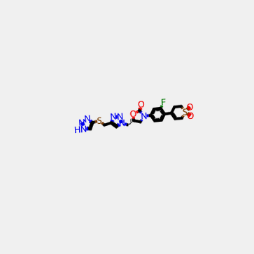 O=C1O[C@@H](Cn2cc(CSc3c[nH]nn3)nn2)CN1c1ccc(C2=CCS(=O)(=O)CC2)c(F)c1